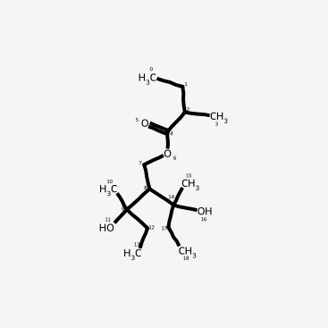 CCC(C)C(=O)OCC(C(C)(O)CC)C(C)(O)CC